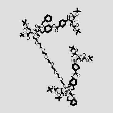 CC(C)(C)OC(=O)C[C@@H](C(=O)OC(C)(C)C)N(CCOCCOCCOCCOCCOCCOCCN([C@@H](CC(=O)OC(C)(C)C)C(=O)OC(C)(C)C)S(=O)(=O)N(Cc1ccc(OC(=O)c2ccc(NC(=NC(=O)OC(C)(C)C)NC(=O)OC(C)(C)C)cc2)cc1)C(=O)OCc1ccccc1)S(=O)(=O)N(Cc1ccc(OC(=O)c2ccc(NC(=NC(=O)OC(C)(C)C)NC(=O)OC(C)(C)C)cc2)cc1)C(=O)OCc1ccccc1